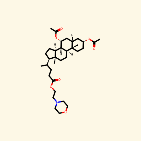 CC(=O)O[C@@H]1CC[C@@]2(C)[C@@H](C1)C[C@@H](OC(C)=O)[C@@H]1[C@@H]2CC[C@]2(C)[C@@H](C(C)CCC(=O)OCCN3CCOCC3)CC[C@@H]12